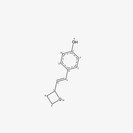 Oc1ccc(C=CC2CCO2)cc1